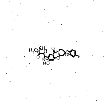 CN(C)C(=O)C(=O)C(=N)c1cc(C(=O)N2CCC(O)(Cc3ccc(F)cc3)CC2)c(Cl)cc1O